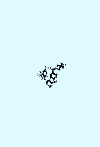 C[C@@H](c1ccc(Nc2cc(Nc3ncc(F)cc3S(C)(=O)=O)ncn2)nc1)N1CC2(COC2)C1